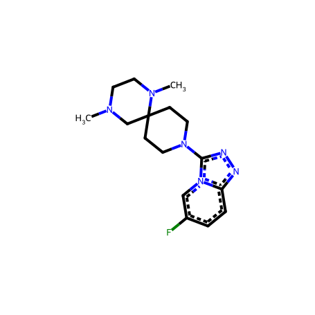 CN1CCN(C)C2(CCN(c3nnc4ccc(F)cn34)CC2)C1